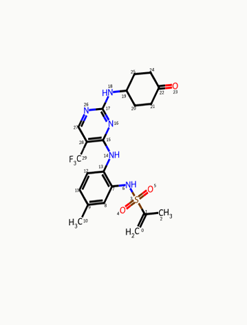 C=C(C)S(=O)(=O)Nc1cc(C)ccc1Nc1nc(NC2CCC(=O)CC2)ncc1C(F)(F)F